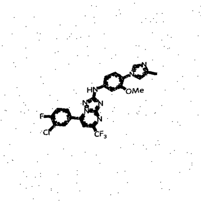 COc1cc(Nc2nc3nc(C(F)(F)F)cc(-c4ccc(F)c(Cl)c4)n3n2)ccc1-n1cnc(C)c1